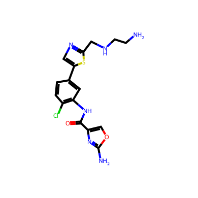 NCCNCc1ncc(-c2ccc(Cl)c(NC(=O)c3coc(N)n3)c2)s1